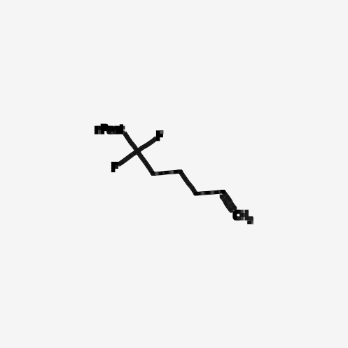 C=CCCCC(F)(F)CCCCC